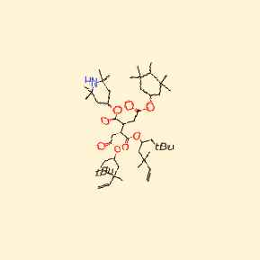 C=CC(C)(C)CC(CC(C)(C)C)OC(=O)CC(C(=O)OC(CC(C)(C)C)CC(C)(C)C=C)C(CC(=O)OC1CC(C)(C)C(C)C(C)(C)C1)C(=O)OC1CC(C)(C)NC(C)(C)C1